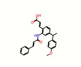 COc1ccc(C(C)c2ccc(C=CC(=O)O)c(NC(=O)C=Cc3ccccc3)c2)cc1